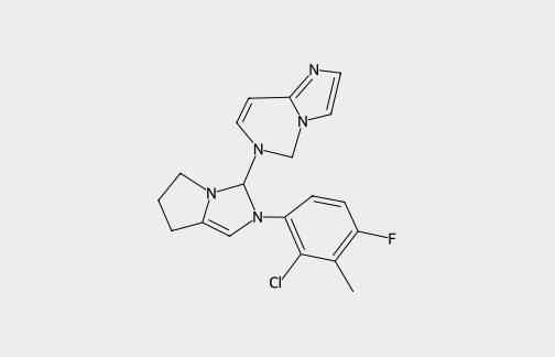 Cc1c(F)ccc(N2C=C3CCCN3C2N2C=Cc3nccn3C2)c1Cl